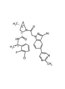 CC(=O)c1nn(CC(=O)N2C3C[C@]3(C)C[C@H]2C(=O)N[C@H](C)c2cccc(Cl)c2F)c2ccc(-c3cnc(C)nc3)cc12